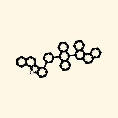 c1cc(-c2c3ccccc3c(-c3cc4ccc5ccccc5c4c4ccccc34)c3ccccc23)cc(-c2cccc3oc4c5ccccc5ccc4c23)c1